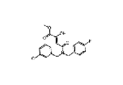 COC(=O)C(O)=CC(=O)N(Cc1ccc(F)cc1)Cc1cccc(Cl)c1